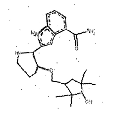 CC1(C)CC(COC2CCNC2c2nc3c(C(N)=O)cccc3[nH]2)C(C)(C)N1O